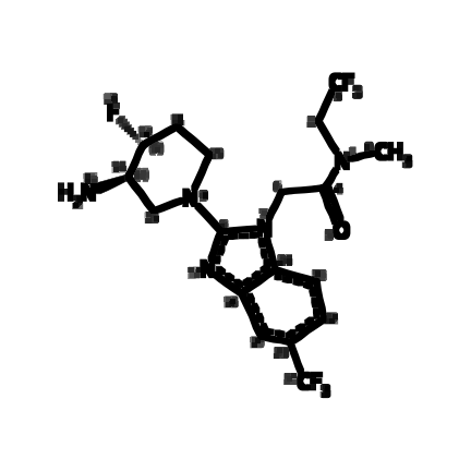 CN(CC(F)(F)F)C(=O)Cn1c(N2CC[C@@H](F)[C@H](N)C2)nc2cc(C(F)(F)F)ccc21